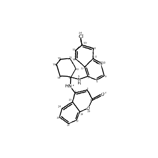 O=c1cc(NC2(Nc3ccnc4cc(Cl)ccc34)CCCCC2)c2ccccc2o1